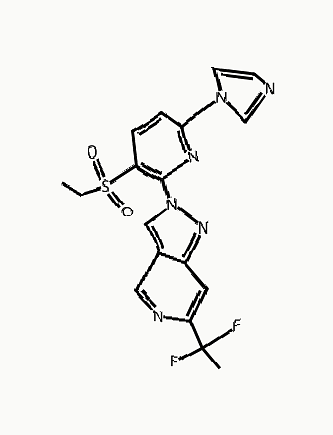 CCS(=O)(=O)c1ccc(-n2ccnc2)nc1-n1cc2cnc(C(C)(F)F)cc2n1